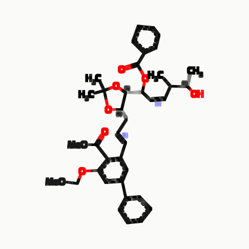 COCOc1cc(-c2ccccc2)cc(/C=C/C[C@@H]2OC(C)(C)O[C@@H]2C(/C=C\C(C)[C@H](C)O)OC(=O)c2ccccc2)c1C(=O)OC